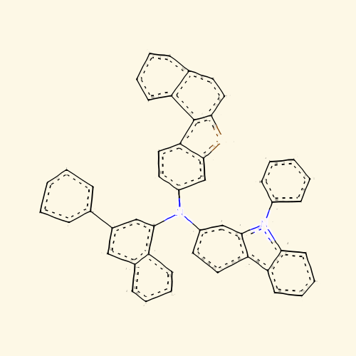 c1ccc(-c2cc(N(c3ccc4c(c3)sc3ccc5ccccc5c34)c3ccc4c5ccccc5n(-c5ccccc5)c4c3)c3ccccc3c2)cc1